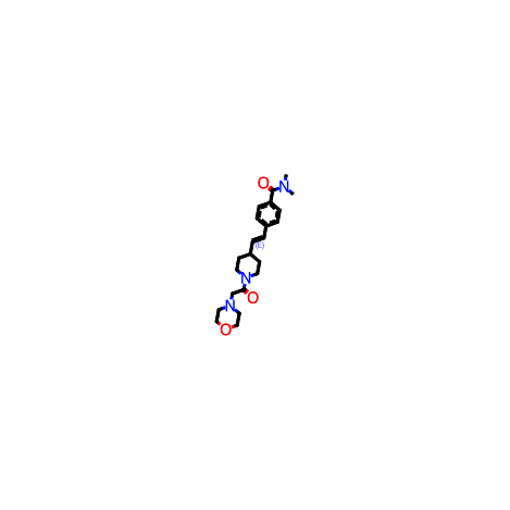 CN(C)C(=O)c1ccc(/C=C/C2CCN(C(=O)CN3CCOCC3)CC2)cc1